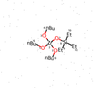 CCCC[O][Zr]([O]CCCC)([O]CCCC)[O][Si](CC)(CC)CC